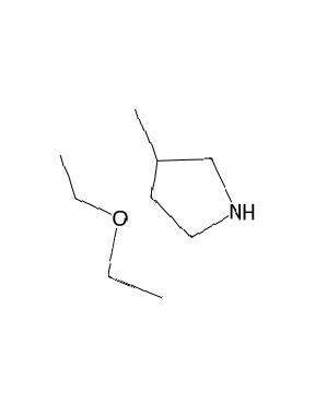 CC1CCNC1.CCOCC